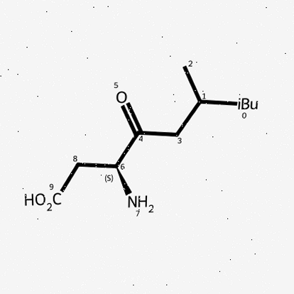 CCC(C)C(C)CC(=O)[C@@H](N)CC(=O)O